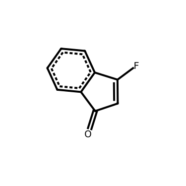 O=C1C=C(F)c2ccccc21